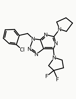 FC1(F)CCN(c2nc(N3CCCC3)nc3c2nnn3Cc2ccccc2Cl)C1